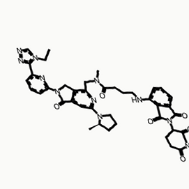 CCn1cnnc1-c1cccc(N2Cc3c(cc(N4CCC[C@H]4C)nc3CN(C)C(=O)CCCNc3cccc4c3C(=O)N(C3CCC(=O)NC3=O)C4=O)C2=O)n1